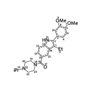 CCc1c(-c2ccc(OC)c(OC)c2)[nH]c2ccc(C(=O)N3CCN(C(C)C)CC3)cc12